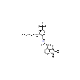 CCCCCCOc1nc(C(F)(F)F)ccc1/C=C/C(=O)Nc1cccc2[nH]c(=O)[nH]c12